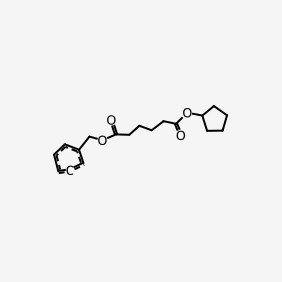 O=C(CCCCC(=O)OC1CCCC1)OCc1ccccc1